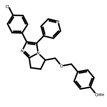 COc1ccc(COCC2CCc3nc(-c4ccc(Cl)cc4)c(-c4ccncc4)n32)cc1